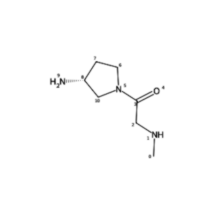 CNCC(=O)N1CC[C@@H](N)C1